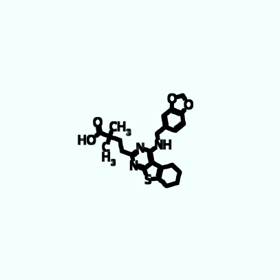 CC(C)(CCc1nc(NCc2ccc3c(c2)OCO3)c2c3c(sc2n1)CCCC3)C(=O)O